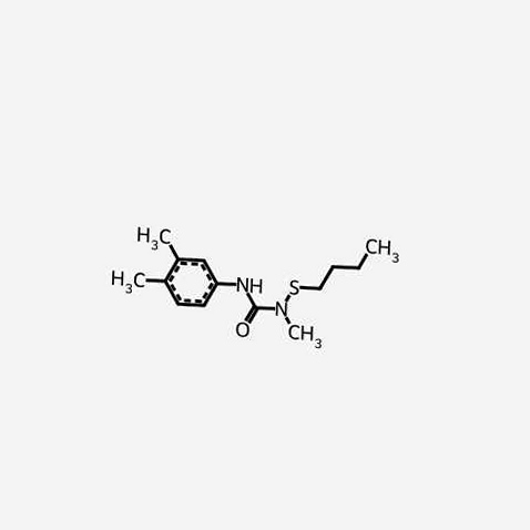 CCCCSN(C)C(=O)Nc1ccc(C)c(C)c1